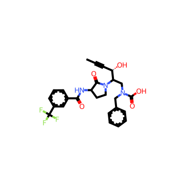 CC#C[C@H](O)C(CN(Cc1ccccc1)C(=O)O)N1CCC(NC(=O)c2cccc(C(F)(F)F)c2)C1=O